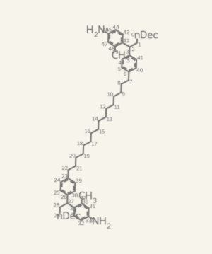 CCCCCCCCCCCC(c1ccc(CCCCCCCCCCCCCCCCc2ccc(C(CCCCCCCCCCC)c3ccc(N)cc3C)cc2)cc1)c1ccc(N)cc1C